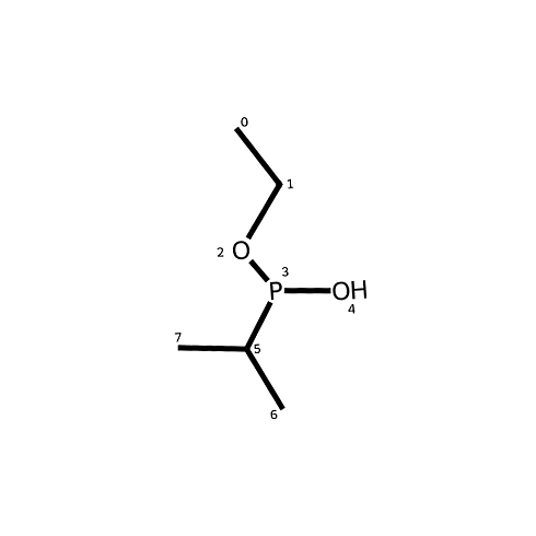 CCOP(O)C(C)C